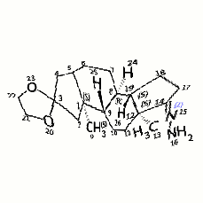 C[C@]12CC3(CC1CC[C@@H]1[C@@H]2CC[C@]2(C)/C(=N\N)CC[C@@H]12)OCCO3